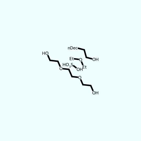 CCCCCCCCCCCCO.CCOCC.O=S(=O)(O)O.OCCOCCOCCO